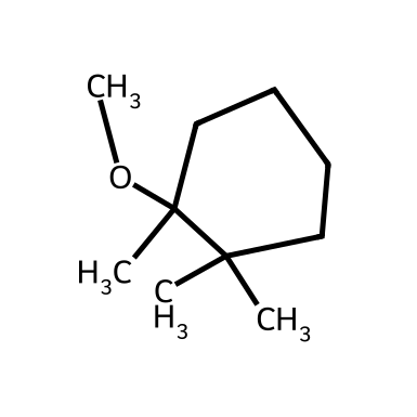 COC1(C)CCCCC1(C)C